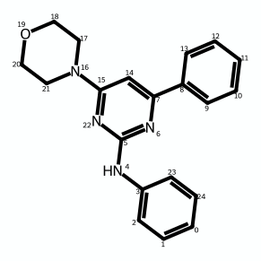 c1ccc(Nc2nc(-c3ccccc3)cc(N3CCOCC3)n2)cc1